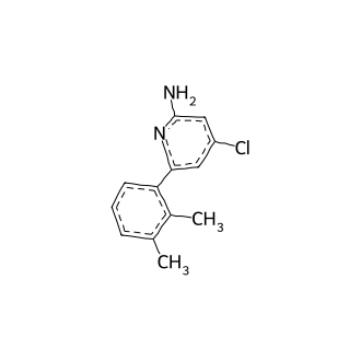 Cc1cccc(-c2cc(Cl)cc(N)n2)c1C